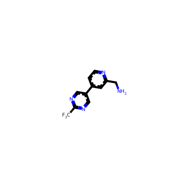 NCc1cc(-c2cnc(C(F)(F)F)nc2)ccn1